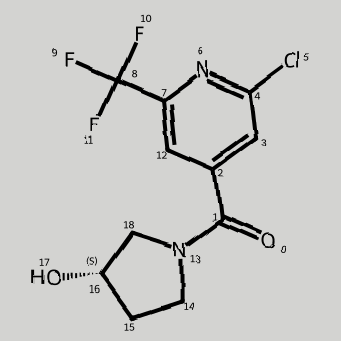 O=C(c1cc(Cl)nc(C(F)(F)F)c1)N1CC[C@H](O)C1